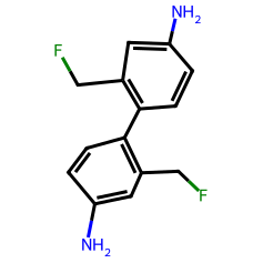 Nc1ccc(-c2ccc(N)cc2CF)c(CF)c1